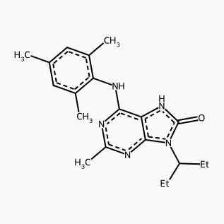 CCC(CC)n1c(=O)[nH]c2c(Nc3c(C)cc(C)cc3C)nc(C)nc21